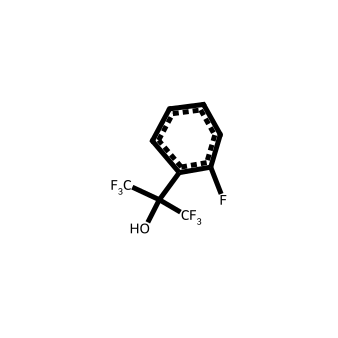 OC(c1ccccc1F)(C(F)(F)F)C(F)(F)F